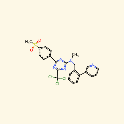 CN(Cc1ccccc1-c1cccnc1)c1nc(-c2ccc(S(C)(=O)=O)cc2)nc(C(Cl)(Cl)Cl)n1